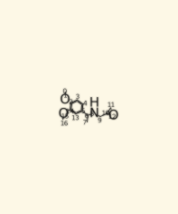 COc1ccc(C(C)NCC2CO2)cc1OC